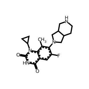 Cc1c(N2CC3CCNCC3C2)c(F)cc2c(=O)[nH]c(=O)n(C3CC3)c12